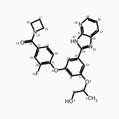 CC(CO)Oc1cc(Oc2ccc(C(=O)N3CCC3)cc2F)cc(-c2nc3cccnc3[nH]2)c1